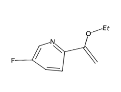 C=C(OCC)c1ccc(F)cn1